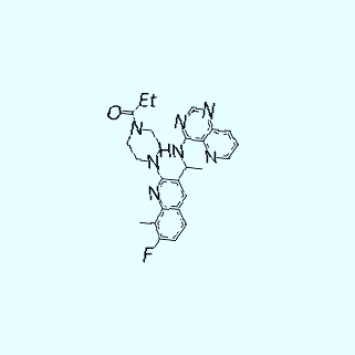 CCC(=O)N1CCN(c2nc3c(C)c(F)ccc3cc2C(C)Nc2ncnc3cccnc23)CC1